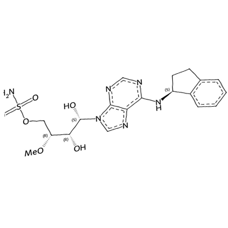 CO[C@H](COS(N)(=O)=O)[C@@H](O)[C@H](O)n1cnc2c(N[C@H]3CCc4ccccc43)ncnc21